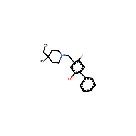 CC(C)C1(CC#N)CCN(Cc2cc(O)c(-c3ccccc3)cc2F)CC1